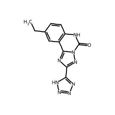 CCc1ccc2[nH]c(=O)n3nc(-c4nnn[nH]4)nc3c2c1